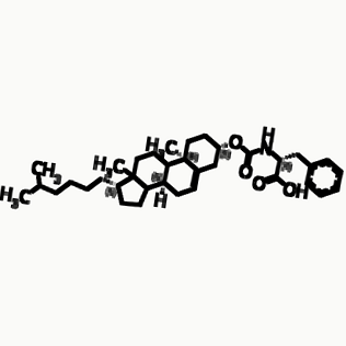 CC(C)CCCC[C@H]1CCC2[C@@H]3CC=C4C[C@@H](OC(=O)N[C@H](Cc5ccccc5)C(=O)O)CC[C@]4(C)C3CCC21C